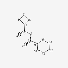 O=C(CC(=O)C1CCC1)C1CCCCC1